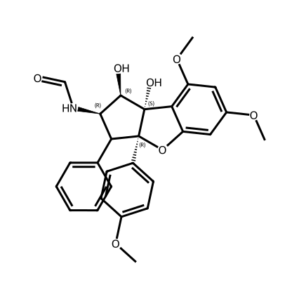 COc1ccc([C@@]23Oc4cc(OC)cc(OC)c4[C@]2(O)[C@H](O)[C@H](NC=O)C3c2ccccc2)cc1